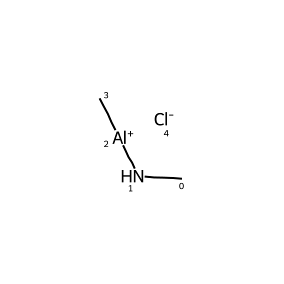 C[NH][Al+][CH3].[Cl-]